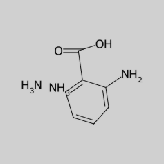 N.N.Nc1ccccc1C(=O)O